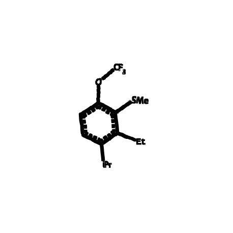 CCc1c(C(C)C)ccc(OC(F)(F)F)c1SC